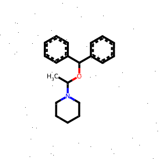 CC(OC(c1ccccc1)c1ccccc1)N1CCCCC1